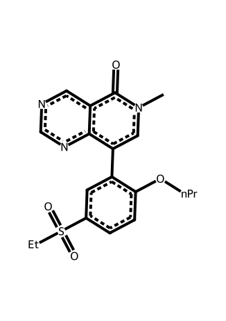 CCCOc1ccc(S(=O)(=O)CC)cc1-c1cn(C)c(=O)c2cncnc12